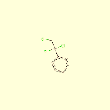 ClCC(Cl)(Cl)c1[c]cccc1